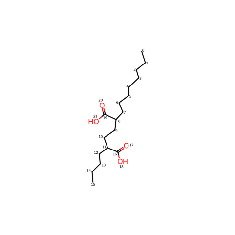 CCCCCCCCC(CCC(CCCC)C(=O)O)C(=O)O